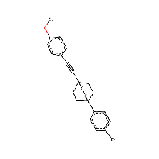 CCOc1ccc(C#CC23CCC(c4ccc(CC)cc4)(CC2)CC3)cc1